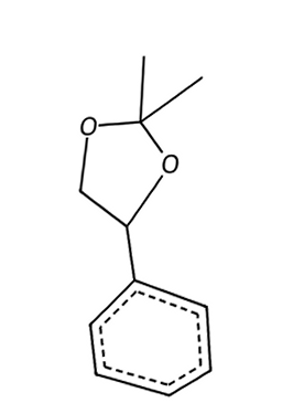 CC1(C)OCC(c2ccccc2)O1